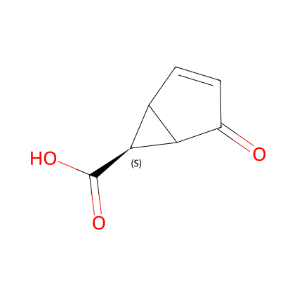 O=C1C=CC2C1[C@H]2C(=O)O